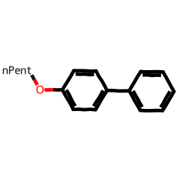 CCCCCOc1ccc(-c2ccccc2)cc1